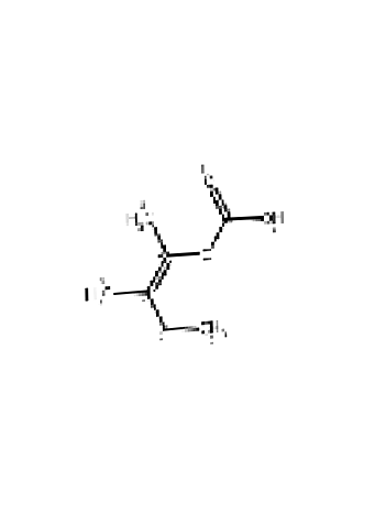 CCC(C)=C(C)OC(=O)O